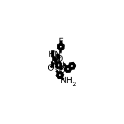 C#CCN(C(=O)NCc1ccc(F)cc1)N1CC(=O)N2[C@@H](Cc3ccc(N)cc3)C(=O)N(Cc3cccc4ccccc34)C[C@@H]21